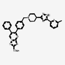 CSc1nc2nc(-c3ccc(CN4CCC(c5n[nH]c(-c6cccc(C)n6)n5)CC4)cc3)c(-c3ccccc3)cn2n1